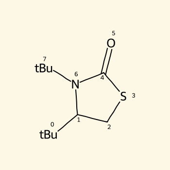 CC(C)(C)C1CSC(=O)N1C(C)(C)C